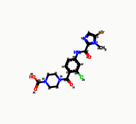 Cn1c(Br)cnc1C(=O)Nc1ccc(C(=O)N2CCN(C(=O)O)CC2)c(Cl)c1